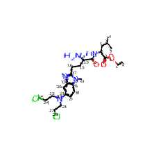 CCOC(=O)C(CC(C)C)NC(=O)C(N)CCc1nc2cc(N(CCCl)CCCl)ccc2n1C